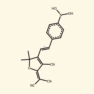 CC1(C)OC(=C(C#N)C#N)C(C#N)=C1/C=C/c1ccc(N(O)O)cc1